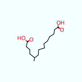 CC(CCCCCCCCC(=O)O)CCCC(=O)O